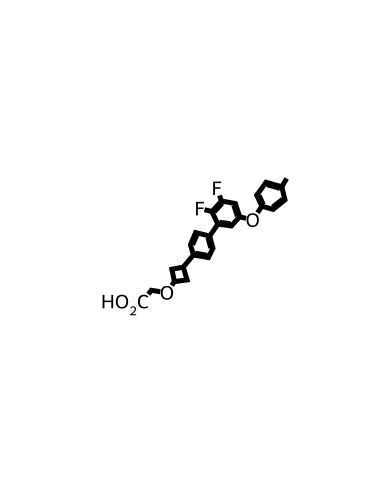 Cc1ccc(Oc2cc(F)c(F)c(-c3ccc(C4CC(OCC(=O)O)C4)cc3)c2)cc1